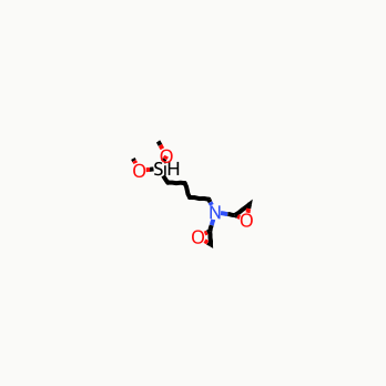 CO[SiH](CCCCN(C1CO1)C1CO1)OC